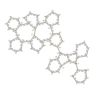 c1cnc(-n2c3ccccc3c3c2c2ccccc2n3-c2ccc3c(c2)c2cccc4c2-c2c(cccc2c2ccccc23)c2ccccc2c2ccccc42)nc1